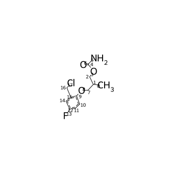 CC(COC(N)=O)COc1ccc(F)cc1CCl